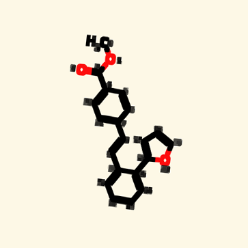 COC(=O)c1ccc(C=Cc2ccccc2-c2ccco2)cc1